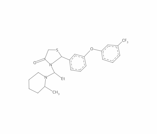 CCC(N1CCCCC1C)N1C(=O)CSC1c1cccc(Oc2cccc(C(F)(F)F)c2)c1